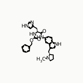 CN1CCC[C@@H]1Cc1c[nH]c2ccc(NC(=O)[C@H](Cc3c[nH]cn3)NC(=O)OCc3ccccc3)cc12